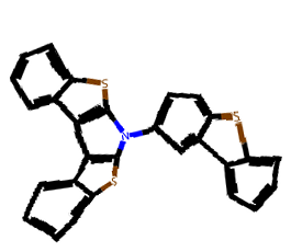 c1ccc2c(c1)sc1ccc(-n3c4sc5ccccc5c4c4c5ccccc5sc43)cc12